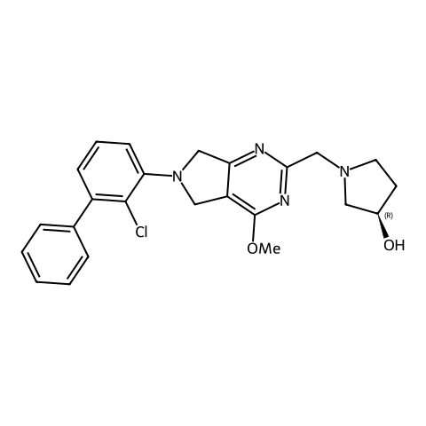 COc1nc(CN2CC[C@@H](O)C2)nc2c1CN(c1cccc(-c3ccccc3)c1Cl)C2